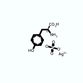 N[C@@H](Cc1ccc(O)cc1)C(=O)O.O=S(=O)([O-])[O-].[Ag+2]